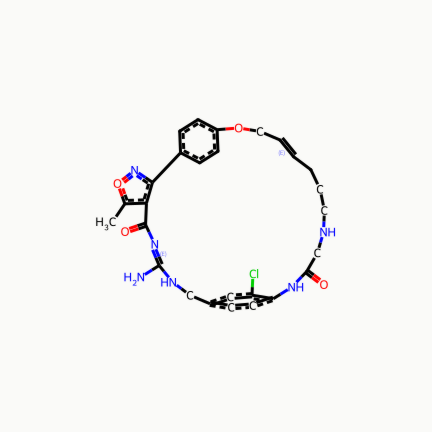 Cc1onc2c1C(=O)/N=C(\N)NCc1ccc(c(Cl)c1)NC(=O)CNCCC/C=C/COc1ccc-2cc1